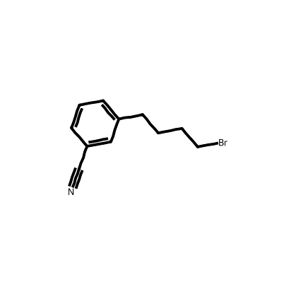 N#Cc1cccc(CCCCBr)c1